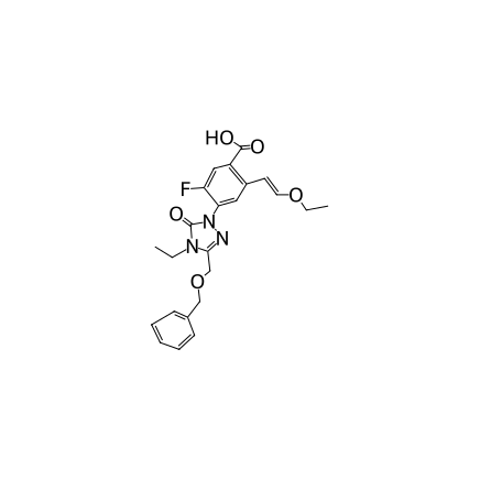 CCOC=Cc1cc(-n2nc(COCc3ccccc3)n(CC)c2=O)c(F)cc1C(=O)O